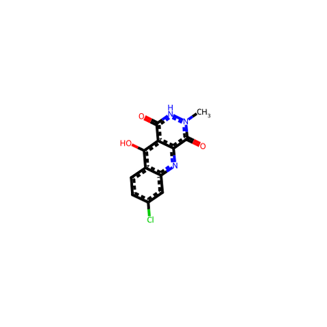 Cn1[nH]c(=O)c2c(O)c3ccc(Cl)cc3nc2c1=O